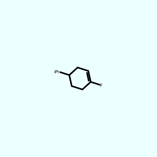 CC(C)C1CC=C(F)CC1